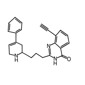 C#Cc1cccc2c(=O)[nH]c(CCCC3CC(c4ccccc4)=CCN3)nc12